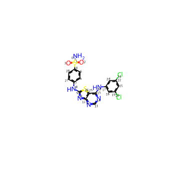 NS(=O)(=O)c1ccc(Nc2nc3ncnc(Nc4cc(Cl)cc(Cl)c4)c3s2)cc1